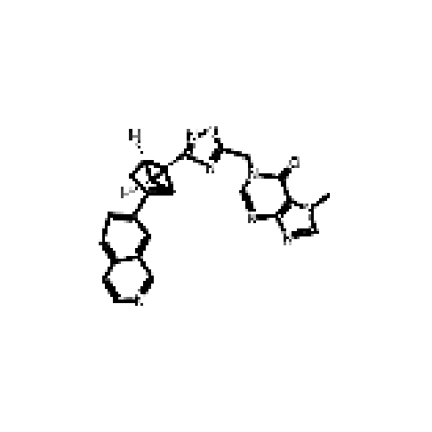 Cn1cnc2ncn(Cc3nc([C@]45C6=C(c7ccc8ccncc8c7)C[C@@H]4[C@H]65)no3)c(=O)c21